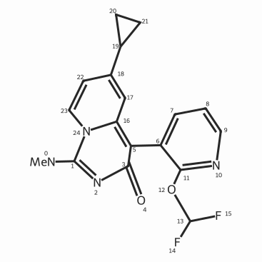 CNc1nc(=O)c(-c2cccnc2OC(F)F)c2cc(C3CC3)ccn12